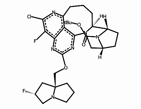 CC(C)(C)OC(=O)N1[C@@H]2CC[C@H]1[C@@H]1CCCc3nc(Cl)c(F)c4nc(OC[C@@]56CCCN5C[C@H](F)C6)nc(c34)N1C2